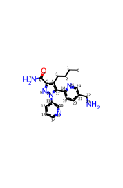 CCCCc1c(C(N)=O)nn(-c2cccnc2)c1-c1ccc(CN)cn1